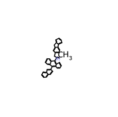 C/C=C(\Cc1ccc2c(c1)Cc1ccccc1-2)c1c2ccccc2c(-c2ccc3ccccc3c2)c2ccccc12